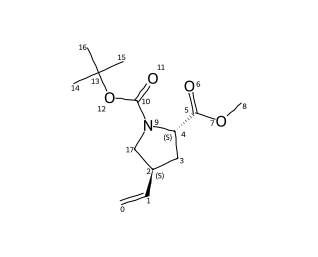 C=C[C@@H]1C[C@@H](C(=O)OC)N(C(=O)OC(C)(C)C)C1